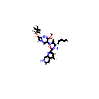 C=C/C=C\C[C@H](NC(=O)c1cc(C)c2c(n1)CNCC2)C(C)/N=C(/CN1CC(O[Si](C)(C)C(C)(C)C)C1)C(=N)OC